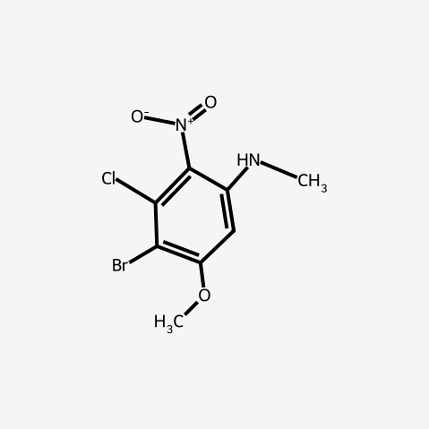 CNc1cc(OC)c(Br)c(Cl)c1[N+](=O)[O-]